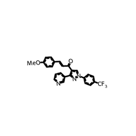 COc1ccc(C=CC(=O)c2cn(-c3ccc(C(F)(F)F)cc3)nc2-c2cccnc2)cc1